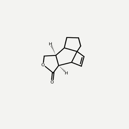 O=C1OC[C@H]2C3CCCC34C=CC4[C@@H]12